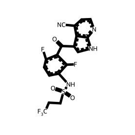 N#Cc1ccnc2[nH]cc(C(=O)c3c(F)ccc(NS(=O)(=O)CCC(F)(F)F)c3F)c12